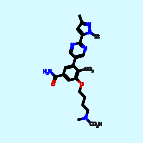 CCn1nc(C)cc1-c1ncc(-c2cc(C(N)=O)cc(OCCCCN(C)C(=O)O)c2[N+](=O)[O-])cn1